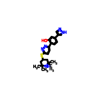 CC1(C)CC(Sc2ccc(-c3ccc(-c4cn[nH]c4)cc3O)nn2)CC(C)(C)N1